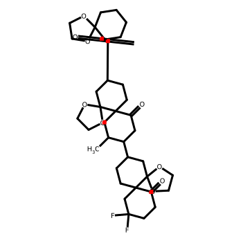 CC1CC2(CCC(C3CC(=O)C4(CCCCC45OCCO5)C3)CC23OCCO3)C(=O)CC1C1CCC2(CC(F)(F)CCC2=O)C2(C1)OCCO2